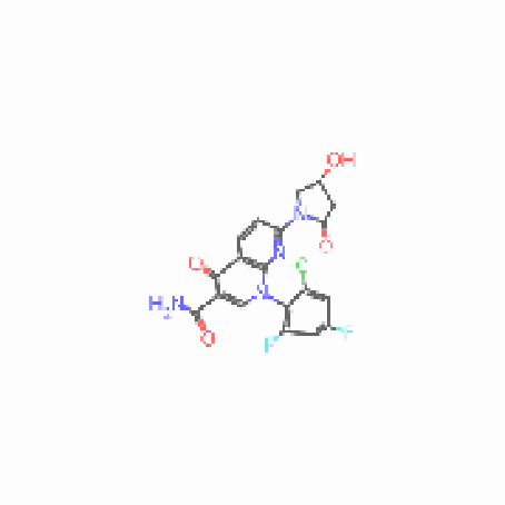 NC(=O)c1cn(-c2c(F)cc(F)cc2Cl)c2nc(N3C[C@@H](O)CC3=O)ccc2c1=O